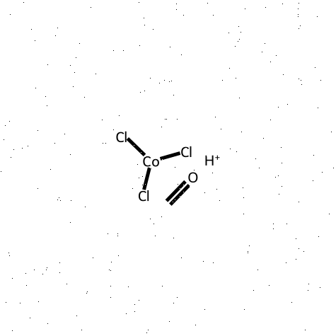 C=O.[Cl][Co]([Cl])[Cl].[H+]